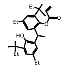 C=CC(=O)Oc1c(C(C)c2cc(CC)cc(C(C)(C)CC)c2O)cc(CC)cc1C(C)(C)CC